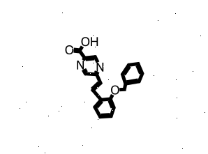 O=C(O)c1cnc(C=Cc2ccccc2OCc2ccccc2)cn1